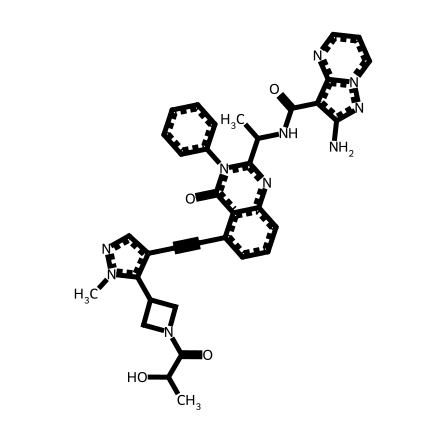 CC(O)C(=O)N1CC(c2c(C#Cc3cccc4nc(C(C)NC(=O)c5c(N)nn6cccnc56)n(-c5ccccc5)c(=O)c34)cnn2C)C1